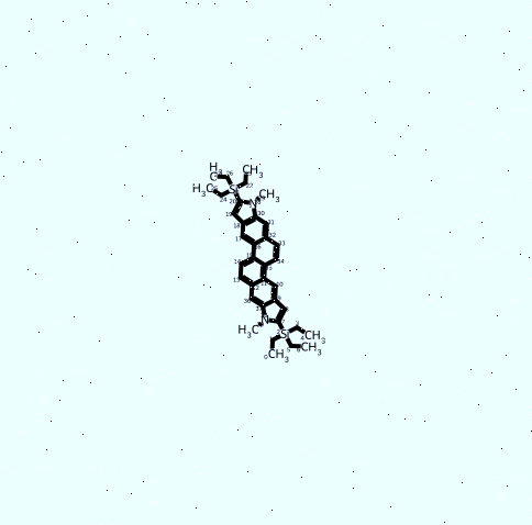 CC[Si](CC)(CC)c1cc2cc3c(ccc4c5cc6cc([Si](CC)(CC)CC)n(C)c6cc5ccc34)cc2n1C